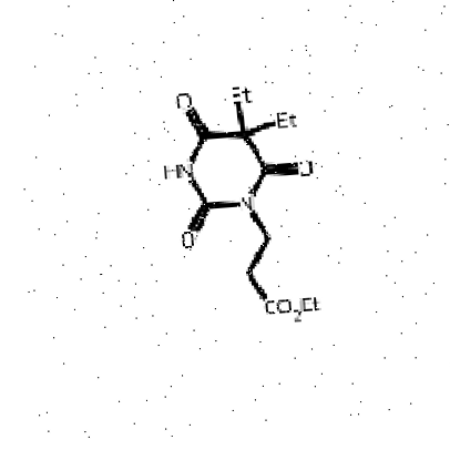 CCOC(=O)CCN1C(=O)NC(=O)C(CC)(CC)C1=O